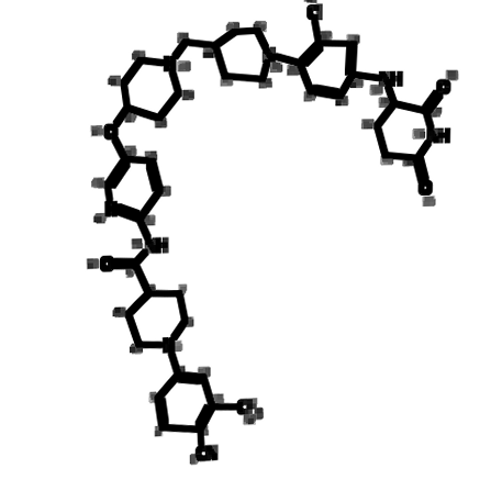 N#Cc1ccc(N2CCC(C(=O)Nc3ccc(OC4CCN(CC5CCN(c6ccc(NC7CCC(=O)NC7=O)cc6Cl)CC5)CC4)cn3)CC2)cc1C(F)(F)F